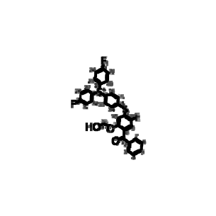 O=C(c1ccccc1)c1cc(F)c(Sc2ccc([S+](c3ccc(F)cc3)c3ccc(F)cc3)cc2)cc1OCO